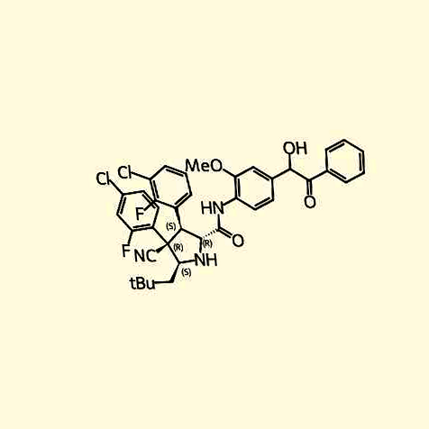 COc1cc(C(O)C(=O)c2ccccc2)ccc1NC(=O)[C@@H]1N[C@@H](CC(C)(C)C)[C@](C#N)(c2ccc(Cl)cc2F)[C@H]1c1cccc(Cl)c1F